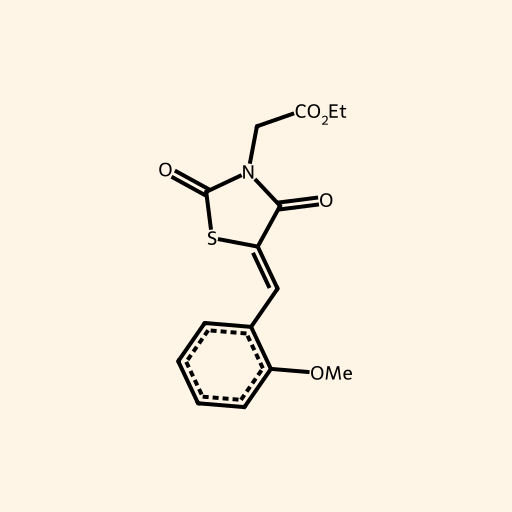 CCOC(=O)CN1C(=O)S/C(=C\c2ccccc2OC)C1=O